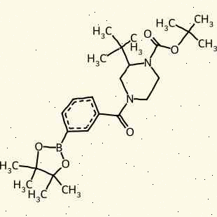 CC(C)(C)OC(=O)N1CCN(C(=O)c2cccc(B3OC(C)(C)C(C)(C)O3)c2)CC1C(C)(C)C